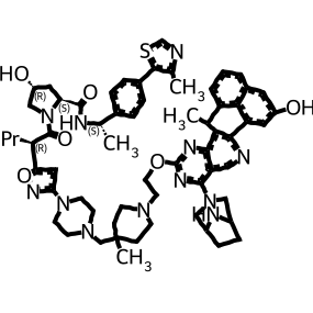 Cc1ncsc1-c1ccc([C@H](C)NC(=O)[C@@H]2C[C@@H](O)CN2C(=O)[C@@H](c2cc(N3CCN(CC4(C)CCN(CCOc5nc(N6CC7CCC(C6)N7)c6cnc7c(c6n5)C(C)c5cccc6cc(O)cc-7c56)CC4)CC3)no2)C(C)C)cc1